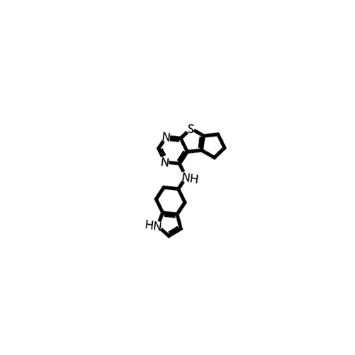 c1nc(NC2CCc3[nH]ccc3C2)c2c3c(sc2n1)CCC3